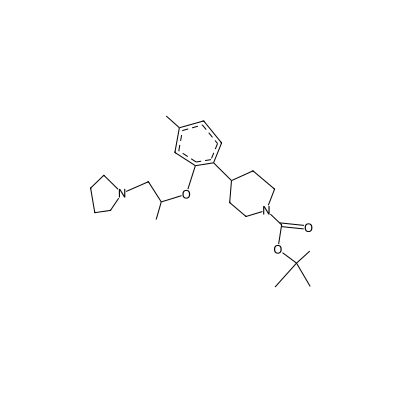 Cc1ccc(C2CCN(C(=O)OC(C)(C)C)CC2)c(OC(C)CN2CCCC2)c1